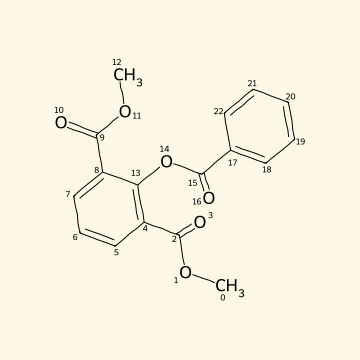 COC(=O)c1cccc(C(=O)OC)c1OC(=O)c1ccccc1